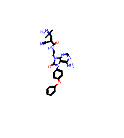 CC(C)(N)C=C(C#N)C(=O)NCCn1c(=O)n(-c2ccc(Oc3ccccc3)cc2)c2c(N)ncnc21